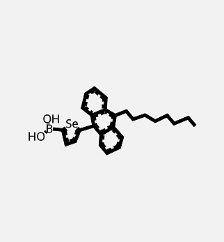 CCCCCCCCc1c2ccccc2c(-c2ccc(B(O)O)[se]2)c2ccccc12